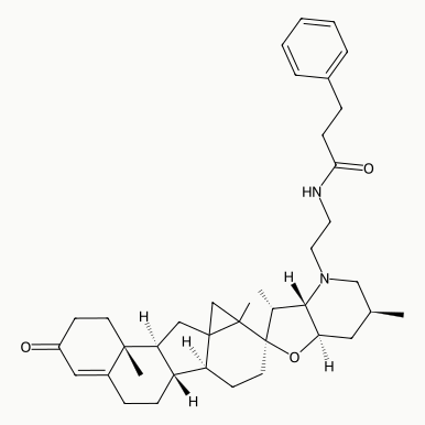 C[C@H]1C[C@H]2O[C@]3(CC[C@H]4[C@@H]5CCC6=CC(=O)CC[C@]6(C)[C@H]5CC45CC53C)[C@H](C)[C@@H]2N(CCNC(=O)CCc2ccccc2)C1